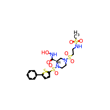 CS(=O)(=O)NCCS(=O)(=O)N1CCN(S(=O)(=O)c2ccc(-c3ccccc3)s2)[C@@H](C(=O)NO)C1